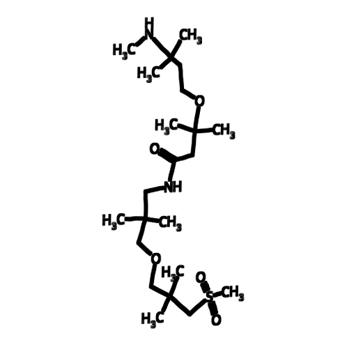 CNC(C)(C)CCOC(C)(C)CC(=O)NCC(C)(C)COCC(C)(C)CS(C)(=O)=O